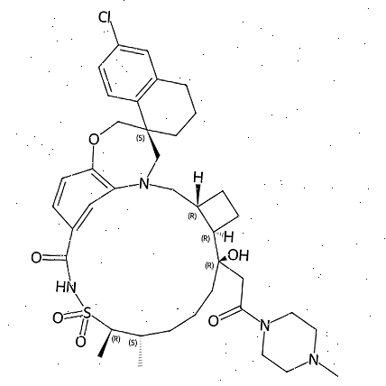 C[C@@H]1[C@@H](C)CCC[C@@](O)(CC(=O)N2CCN(C)CC2)[C@@H]2CC[C@H]2CN2C[C@@]3(CCCc4cc(Cl)ccc43)COc3ccc(cc32)C(=O)NS1(=O)=O